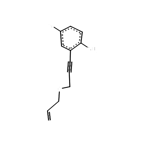 C=CCOCC#Cc1cc(Br)ccc1N